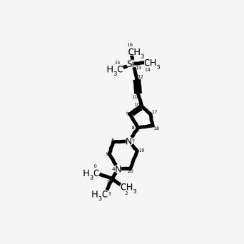 CC(C)(C)N1CCN(C2C=C(C#C[Si](C)(C)C)CC2)CC1